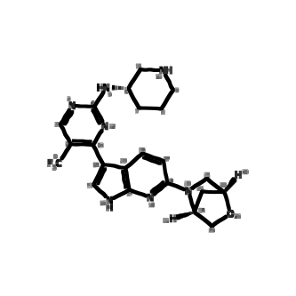 FC(F)(F)c1cnc(N[C@H]2CCCNC2)nc1-c1c[nH]c2nc(N3C[C@H]4C[C@@H]3CO4)ccc12